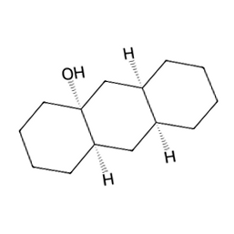 O[C@@]12CCCC[C@@H]1C[C@@H]1CCCC[C@@H]1C2